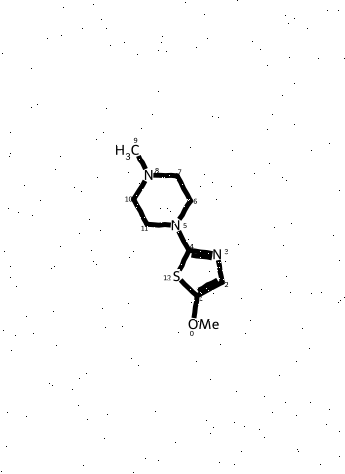 COc1cnc(N2CCN(C)CC2)s1